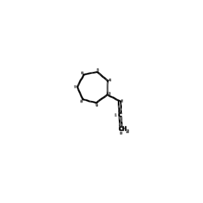 C=C=CC1CCCCCC1